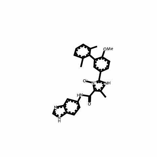 COc1ccc(-c2[nH]c(C)c(C(=O)Nc3ccc4[nH]cnc4c3)[n+]2[O-])cc1-c1c(C)cccc1C